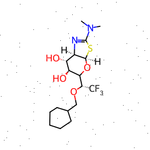 CN(C)C1=N[C@@H]2[C@@H](O)[C@H](O)C([C@@H](OCC3CCCCC3)C(F)(F)F)O[C@@H]2S1